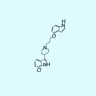 Clc1cccc2c(C3CCN(CCCOc4cccc5[nH]ccc45)CC3)c[nH]c12